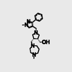 CN1CCCN(C[C@@H]2CN(Cc3cn(C)nc3-c3ccccc3)C[C@@H]2CO)CC1